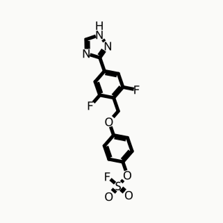 O=S(=O)(F)Oc1ccc(OCc2c(F)cc(-c3nc[nH]n3)cc2F)cc1